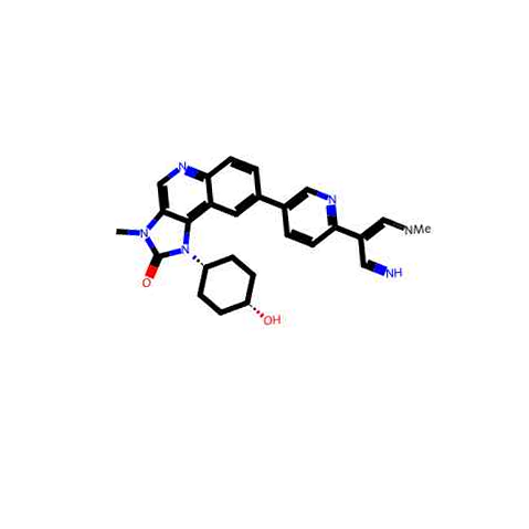 CN/C=C(\C=N)c1ccc(-c2ccc3ncc4c(c3c2)n([C@H]2CC[C@@H](O)CC2)c(=O)n4C)cn1